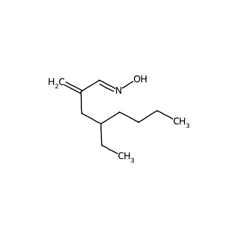 C=C(C=NO)CC(CC)CCCC